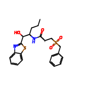 CCCC(NC(=O)[CH]CS(=O)(=O)Cc1ccccc1)C(O)c1nc2ccccc2s1